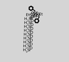 CC[SiH](O[SiH2]O[SiH2]O[SiH2]O[SiH2]O[SiH2]O[SiH2]O[SiH2]O[SiH2]O[SiH3])O[Si](CC)(Cc1ccccc1)O[Si](CC)(CC)Cc1ccccc1